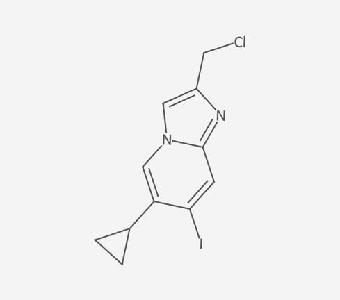 ClCc1cn2cc(C3CC3)c(I)cc2n1